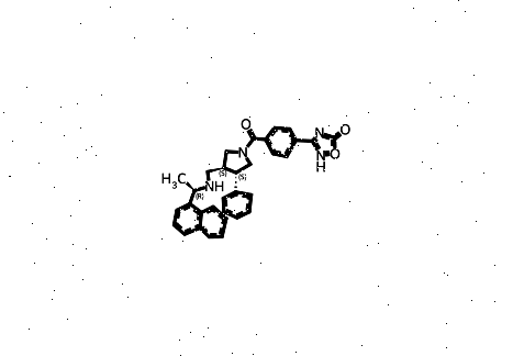 C[C@@H](NC[C@H]1CN(C(=O)c2ccc(-c3nc(=O)o[nH]3)cc2)C[C@@H]1c1ccccc1)c1cccc2ccccc12